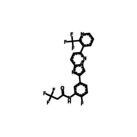 O=C(CC(F)(F)F)Nc1cc(-c2cn3nc(-c4cccnc4C(F)(F)F)ccc3n2)ccc1F